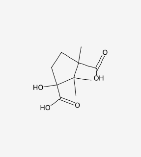 CC1(C(=O)O)CCC(O)(C(=O)O)C1(C)C